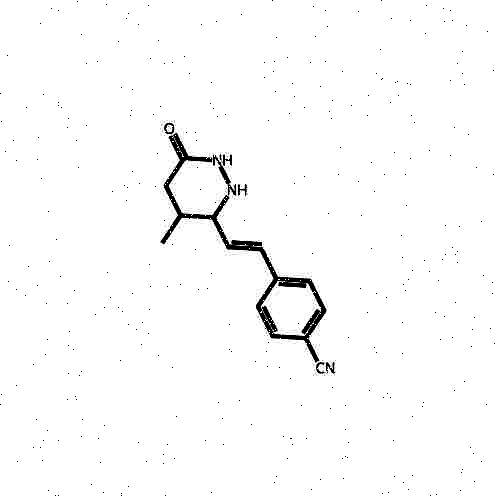 CC1CC(=O)NNC1/C=C/c1ccc(C#N)cc1